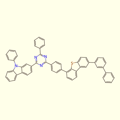 c1ccc(-c2cccc(-c3ccc4sc5c(-c6ccc(-c7nc(-c8ccccc8)nc(-c8ccc9c%10ccccc%10n(-c%10ccccc%10)c9c8)n7)cc6)cccc5c4c3)c2)cc1